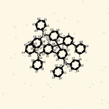 c1ccc(-c2ccc3c(c2)C2(c4ccc(N(c5ccccc5)c5ccccc5)cc4-c4cc(N(c5ccccc5)c5ccccc5)ccc42)c2cc(N(c4ccccc4)c4ccccc4)ccc2-3)cc1